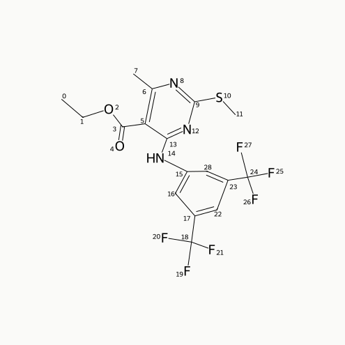 CCOC(=O)c1c(C)nc(SC)nc1Nc1cc(C(F)(F)F)cc(C(F)(F)F)c1